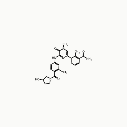 Cc1c(C(N)=O)cccc1-c1cn(C)c(=O)c(Nc2ccc(C(=O)N3CCC(O)C3)c(N)c2)n1